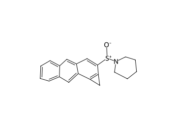 [O-][S+](c1cc2cc3ccccc3cc2c2c1C2)N1CCCCC1